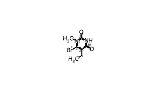 CCc1c(Br)n(C)c(=O)[nH]c1=O